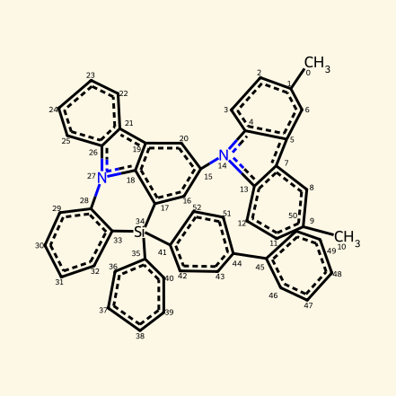 Cc1ccc2c(c1)c1cc(C)ccc1n2-c1cc2c3c(c1)c1ccccc1n3-c1ccccc1[Si]2(c1ccccc1)c1ccc(-c2ccccc2)cc1